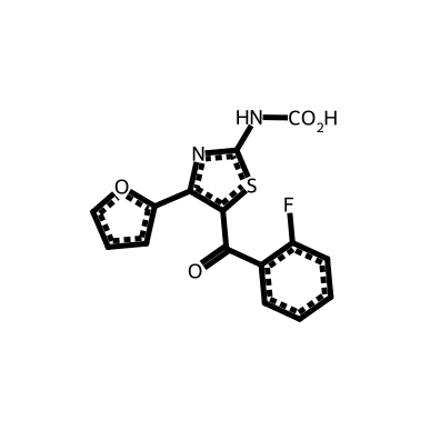 O=C(O)Nc1nc(-c2ccco2)c(C(=O)c2ccccc2F)s1